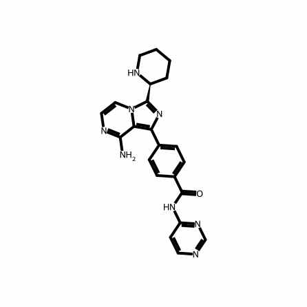 Nc1nccn2c([C@@H]3CCCCN3)nc(-c3ccc(C(=O)Nc4ccncn4)cc3)c12